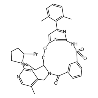 Cc1cnc(N2CCCC2C(C)C)nc1CN1C(=O)c2cccc(c2)S(=O)(=O)Nc2nc(cc(-c3c(C)cccc3C)n2)OCC1CC(C)(C)C